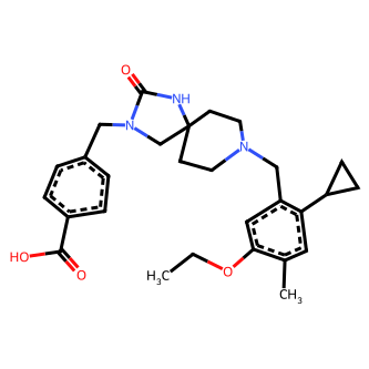 CCOc1cc(CN2CCC3(CC2)CN(Cc2ccc(C(=O)O)cc2)C(=O)N3)c(C2CC2)cc1C